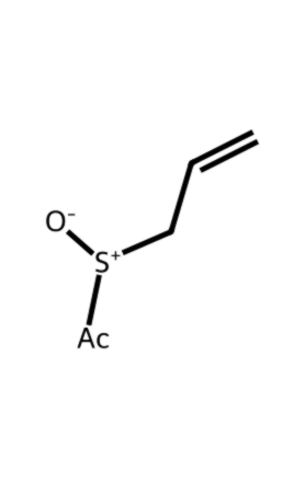 C=CC[S+]([O-])C(C)=O